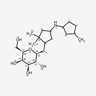 CC1CCC(NC2CC(S[C@@H]3O[C@H](CO)[C@H](O)[C@H](O)[C@H]3O)C(C)(C)C2)C1